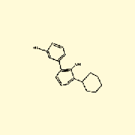 Oc1[c]ccc(-c2cccc(C3CCCCC3)c2O)c1